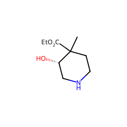 CCOC(=O)C1(C)CCNC[C@@H]1O